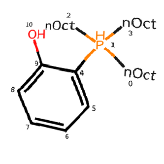 CCCCCCCC[PH](CCCCCCCC)(CCCCCCCC)c1ccccc1O